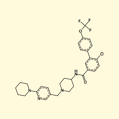 O=C(NC1CCN(Cc2ccc(N3CCCCC3)nc2)CC1)c1ccc(Cl)c(-c2ccc(OC(F)(F)F)cc2)c1